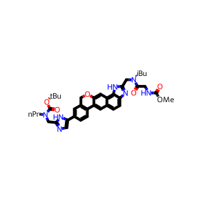 CCCN(Cc1ncc(-c2ccc3c(c2)COc2cc4c(ccc5nc(CN(C(=O)CNC(=O)OC)[C@@H](C)CC)[nH]c54)cc2-3)[nH]1)C(=O)OC(C)(C)C